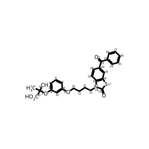 CC(C)(Oc1cccc(OCCCCn2c(=O)sc3cc(C(=O)c4ccccc4)ccc32)c1)C(=O)O